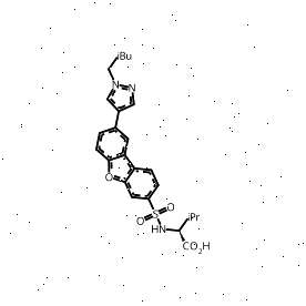 CCC(C)Cn1cc(-c2ccc3oc4cc(S(=O)(=O)N[C@H](C(=O)O)C(C)C)ccc4c3c2)cn1